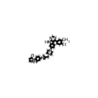 CCc1ccc(-c2ncnc3[nH]c4cc(N5CCN(CC6CN(c7ccc(N8NCCC8=O)cc7)C6)CC5)ccc4c23)cc1C